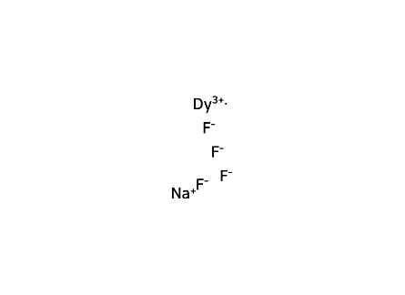 [Dy+3].[F-].[F-].[F-].[F-].[Na+]